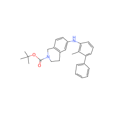 Cc1c(Nc2ccc3c(c2)CCN(C(=O)OC(C)(C)C)C3)cccc1-c1ccccc1